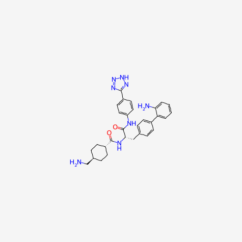 NC[C@H]1CC[C@H](C(=O)N[C@@H](Cc2ccc(-c3ccccc3N)cc2)C(=O)Nc2ccc(-c3nn[nH]n3)cc2)CC1